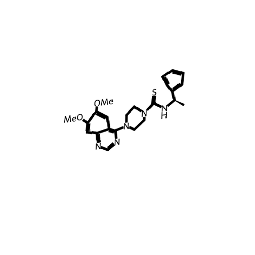 COc1cc2ncnc(N3CCN(C(=S)N[C@H](C)c4ccccc4)CC3)c2cc1OC